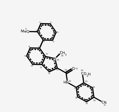 COc1ccccc1-c1cccc2cc(C(=O)Nc3ccc(C#N)cc3C(=O)O)n(C)c12